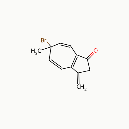 C=C1CC(=O)C2=C1C=CC(C)(Br)C=C2